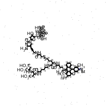 CCCc1cc2c(cc1C)C(c1ccccc1C(=O)N(C)CCCC(=O)NC(CCCSSCCC(=O)NCC#Cc1cn([C@H]3CC(O)[C@@H](COP(=O)(O)OP(=O)(O)OP(=O)(O)O)O3)c(=O)nc1N)C(=O)NCCCCCC(=O)NC(CC(=O)O)C(=O)NC(CC(=O)O)C(=O)O)C1C=C(C)/C(=N/CC)C=C1O2